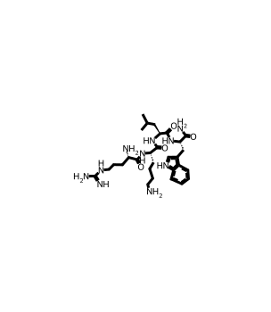 CC(C)C[C@H](NC(=O)[C@H](CCCCN)NC(=O)[C@@H](N)CCCNC(=N)N)C(=O)N[C@@H](Cc1c[nH]c2ccccc12)C(N)=O